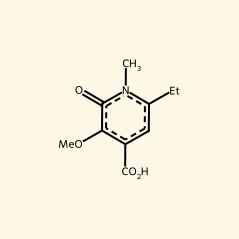 CCc1cc(C(=O)O)c(OC)c(=O)n1C